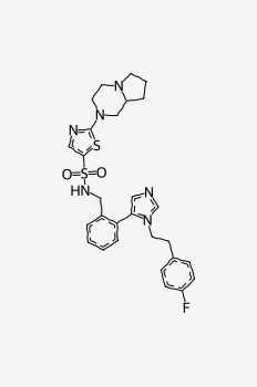 O=S(=O)(NCc1ccccc1-c1cncn1CCc1ccc(F)cc1)c1cnc(N2CCN3CCCC3C2)s1